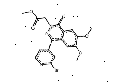 COC(=O)Cn1nc(-c2ccnc(Br)c2)c2cc(OC)c(OC)cc2c1=O